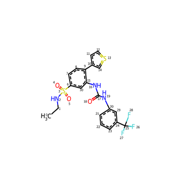 CCNS(=O)(=O)c1ccc(-c2ccsc2)c(NC(=O)Nc2cccc(C(F)(F)F)c2)c1